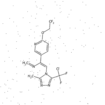 C=N/C(=C\n1c(C)nnc1C(F)(F)Cl)c1ccc(OCC(F)(F)F)nc1